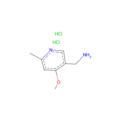 COc1cc(C)ncc1CN.Cl.Cl